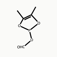 CC1=C(C)OP(OC=O)O1